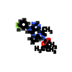 C[C@H]1CN(C(=O)OC(C)(C)C)CCN1c1ncnc2c1c(N1CCCC1)cn2C1CCCC(F)(F)C1